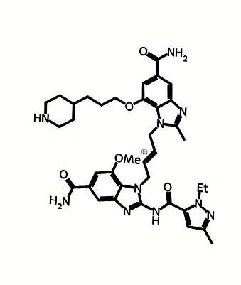 CCn1nc(C)cc1C(=O)Nc1nc2cc(C(N)=O)cc(OC)c2n1C/C=C/Cn1c(C)nc2cc(C(N)=O)cc(OCCCC3CCNCC3)c21